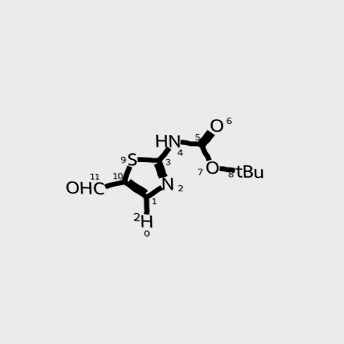 [2H]c1nc(NC(=O)OC(C)(C)C)sc1C=O